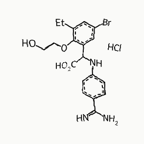 CCc1cc(Br)cc(C(Nc2ccc(C(=N)N)cc2)C(=O)O)c1OCCO.Cl